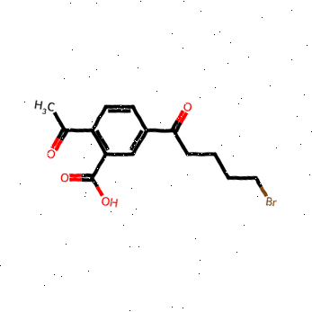 CC(=O)c1ccc(C(=O)CCCCBr)cc1C(=O)O